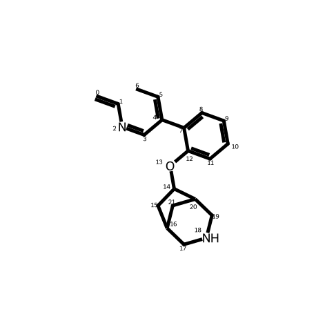 C=C/N=C\C(=C/C)c1ccccc1OC1CC2CNCC1C2